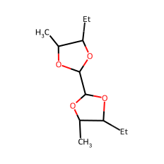 CCC1OC(C2OC(C)C(CC)O2)OC1C